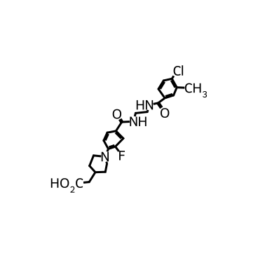 Cc1cc(C(=O)NCCNC(=O)c2ccc(N3CCC(CC(=O)O)CC3)c(F)c2)ccc1Cl